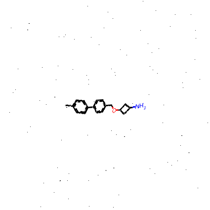 Cc1ccc(-c2ccc(COC3CC(N)C3)cc2)cc1